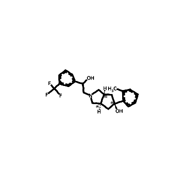 Cc1ccccc1[C@]1(O)C[C@H]2CN(CC(O)c3cccc(C(F)(F)F)c3)C[C@H]2C1